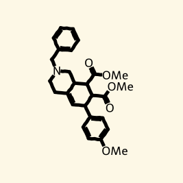 COC(=O)C1C2CN(Cc3ccccc3)CCC2=CC(c2ccc(OC)cc2)C1C(=O)OC